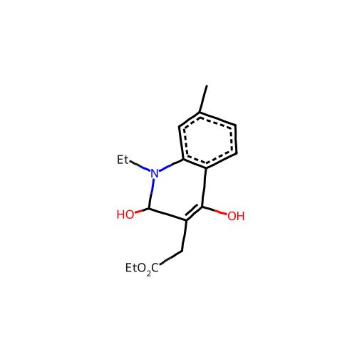 CCOC(=O)CC1=C(O)c2ccc(C)cc2N(CC)C1O